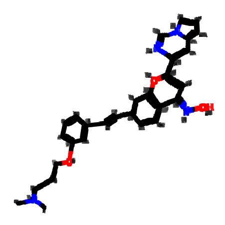 CN(C)CCCOc1cccc(C#Cc2ccc3c(=NO)cc(-c4cc5cccn5cn4)oc3c2)c1